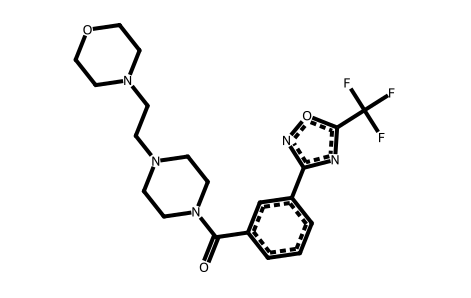 O=C(c1cccc(-c2noc(C(F)(F)F)n2)c1)N1CCN(CCN2CCOCC2)CC1